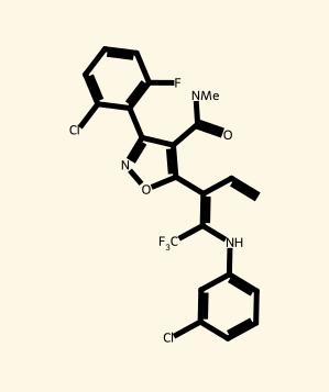 C=C/C(=C(\Nc1cccc(Cl)c1)C(F)(F)F)c1onc(-c2c(F)cccc2Cl)c1C(=O)NC